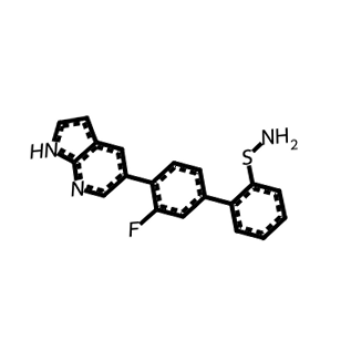 NSc1ccccc1-c1ccc(-c2cnc3[nH]ccc3c2)c(F)c1